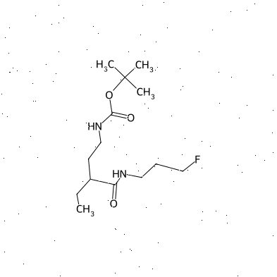 CCC(CCNC(=O)OC(C)(C)C)C(=O)NCCCF